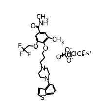 CNC(=O)c1cc(C)c(OCCCN2CCN(c3cccc4sccc34)CC2)c(OCC(F)(F)F)c1.Cl.Cl.O=C([O-])[O-].[Cs+].[Cs+]